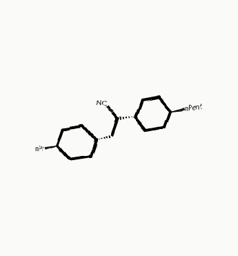 CCCCC[C@H]1CC[C@H](C(C#N)C[C@H]2CC[C@H](CCC)CC2)CC1